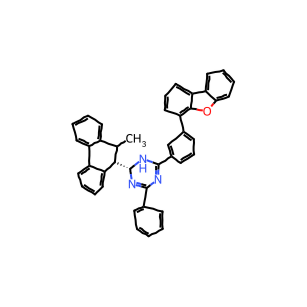 CC1c2ccccc2-c2ccccc2C1[C@H]1N=C(c2ccccc2)N=C(c2cccc(-c3cccc4c3oc3ccccc34)c2)N1